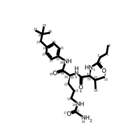 CCCC(=O)N[C@H](C(=O)N[C@@H](CCCNC(N)=O)C(=O)Nc1ccc(CC(C)(C)C)cc1)C(C)C